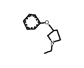 CCN1CCC(Oc2ccccc2)C1